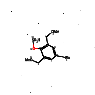 COCc1cc(C(C)(C)C)cc(COC)c1OS(=O)(=O)O